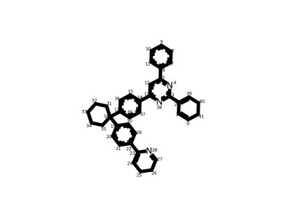 C1=CC(c2nc(-c3ccccc3)cc(-c3ccc(C4(c5ccc(C6=CCCC=N6)cc5)CCCCC4)cc3)n2)=CCC1